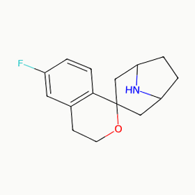 Fc1ccc2c(c1)CCOC21CC2CCC(C1)N2